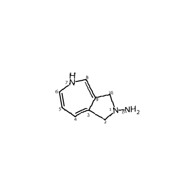 NN1CC2=CC=CNC=C2C1